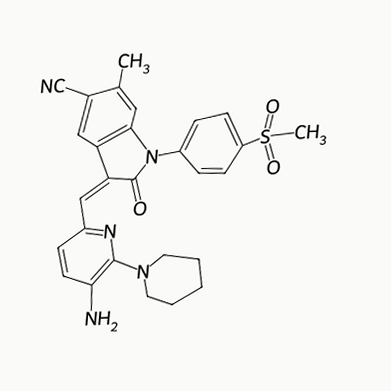 Cc1cc2c(cc1C#N)C(=Cc1ccc(N)c(N3CCCCC3)n1)C(=O)N2c1ccc(S(C)(=O)=O)cc1